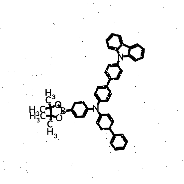 CC1(C)OB(C2=CC=C(N(C3=CCC(c4ccccc4)C=C3)c3ccc(-c4ccc(-n5c6ccccc6c6ccccc65)cc4)cc3)CC2)OC1(C)C